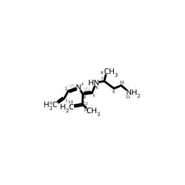 C=C/C=N\C(=C/NC(C)CCN)C(=C)C